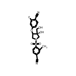 Cc1cc(C#N)ccc1S(=O)(=O)N1CC(Oc2ccc(C#N)c(F)c2)[C@](O)(CO)C1